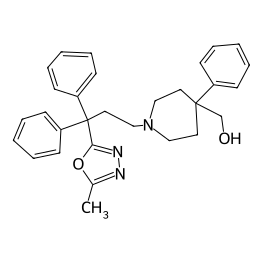 Cc1nnc(C(CCN2CCC(CO)(c3ccccc3)CC2)(c2ccccc2)c2ccccc2)o1